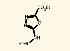 CCOC(=O)c1nnc(N[C]=O)o1